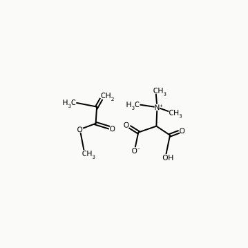 C=C(C)C(=O)OC.C[N+](C)(C)C(C(=O)[O-])C(=O)O